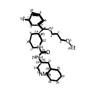 CCOCCCOC(c1cccc(F)c1)[C@@H]1CCCN(C(=O)N[C@H](CNC)CC2CCCCC2)C1